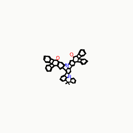 CC1(C)c2ccccc2-n2c3cc4c5cc6c(cc5n5c7cc8c(cc7c(c3c3cccc1c32)c45)C1c2ccccc2C12c1ccccc1C2C8=O)C(=O)C1c2ccccc2C12c1ccccc1C62